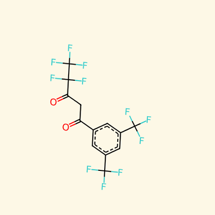 O=C(CC(=O)C(F)(F)C(F)(F)F)c1cc(C(F)(F)F)cc(C(F)(F)F)c1